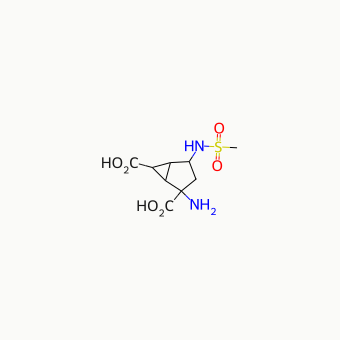 CS(=O)(=O)NC1CC(N)(C(=O)O)C2C(C(=O)O)C12